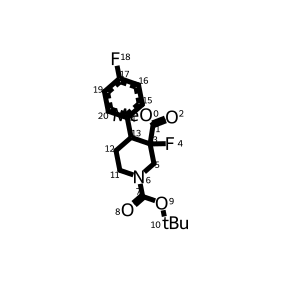 COC(=O)C1(F)CN(C(=O)OC(C)(C)C)CCC1c1ccc(F)cc1